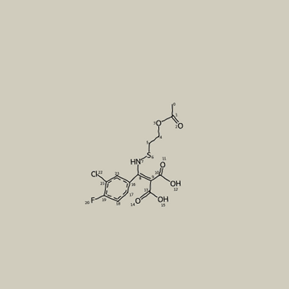 CC(=O)OCCSNC(=C(C(=O)O)C(=O)O)c1ccc(F)c(Cl)c1